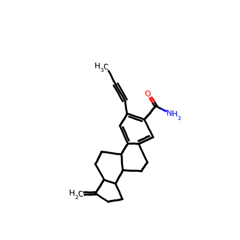 C=C1CCC2C1CCC1c3cc(C#CC)c(C(N)=O)cc3CCC12